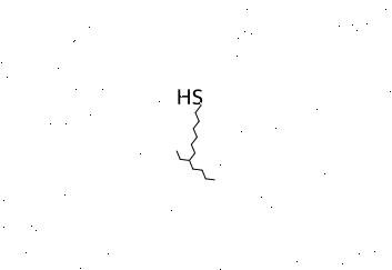 CCCCC(CC)CCCCCCCS